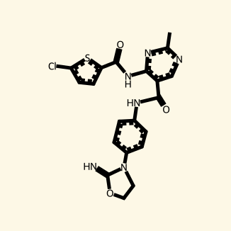 Cc1ncc(C(=O)Nc2ccc(N3CCOC3=N)cc2)c(NC(=O)c2ccc(Cl)s2)n1